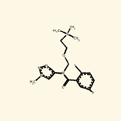 Cn1cc(N(COCC[Si](C)(C)C)C(=O)c2cc(F)ccc2I)nn1